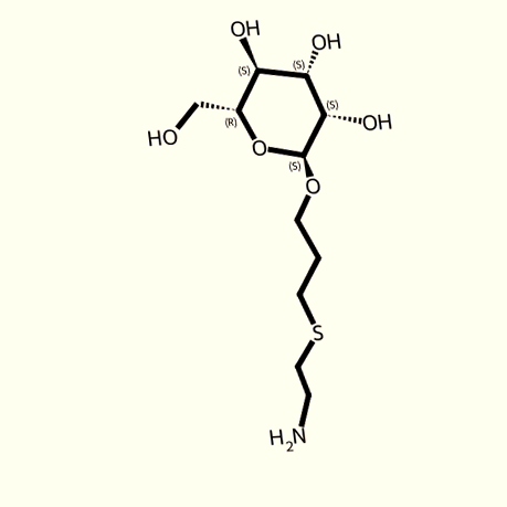 NCCSCCCO[C@H]1O[C@H](CO)[C@@H](O)[C@H](O)[C@@H]1O